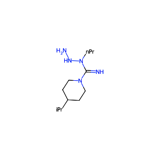 CCCN(NN)C(=N)N1CCC(C(C)C)CC1